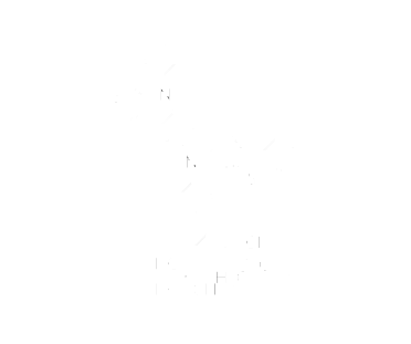 CC(C)(C)c1cc(-c2ccc3c(c2)c2c4sc5ccccc5c4cc4c5cc6c(cc5n3c42)c2cccc3c4ccccc4n6c32)cc(C(C)(C)C)c1